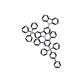 c1ccc(-c2ccc([Si](c3ccccc3)(c3ccccc3)c3cc(-c4ccccc4)c(-n4c5ccc(-n6c7ccccc7c7ccccc76)cc5c5cc([Si](c6ccccc6)(c6ccccc6)c6ccccc6)ccc54)c(-c4ccccc4)c3)cc2)cc1